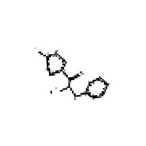 CC(Cc1ccccc1)C(=O)c1ccc(F)cc1